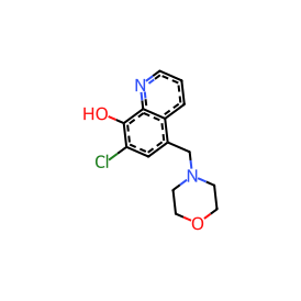 Oc1c(Cl)cc(CN2CCOCC2)c2cccnc12